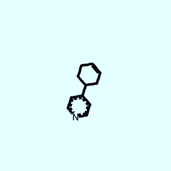 C1=CCC(c2ccncc2)CC1